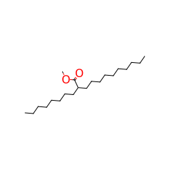 CCCCCCCCCCC(CCCCCCCC)C(=O)OC